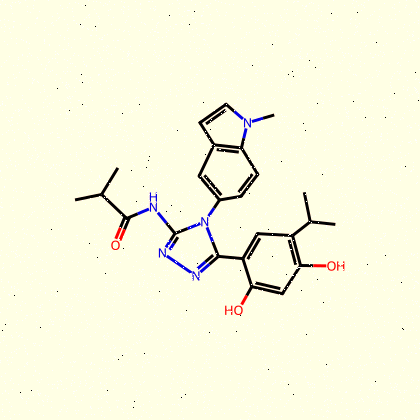 CC(C)C(=O)Nc1nnc(-c2cc(C(C)C)c(O)cc2O)n1-c1ccc2c(ccn2C)c1